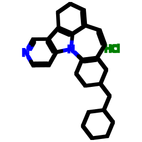 C1=CC2=C(CCC(CC3CCCCC3)C2)n2c3c(c4cnccc42)CCC=C13.Cl